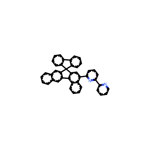 c1ccc(-c2cccc(-c3cc4c(c5ccccc35)-c3cc5ccccc5cc3C43c4ccccc4-c4ccccc43)n2)nc1